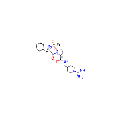 CCS(=O)(=O)N[C@H](Cc1ccccc1)C(=O)N1CCC[C@H]1C(=O)NCC1CCN(C(=N)N)CC1